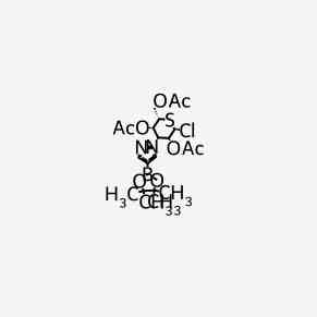 CC(=O)OC[C@@H]1S[C@@H](Cl)[C@@H](OC(C)=O)[C@H](n2cc(B3OC(C)(C)C(C)(C)O3)cn2)[C@@H]1OC(C)=O